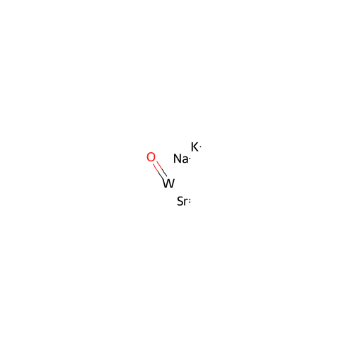 [K].[Na].[O]=[W].[Sr]